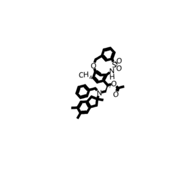 C.CC(=O)O[C@@H](CN(Cc1ccccc1)C1(C)Cc2cc(C)c(C)cc2C1)c1ccc2cc1NS(=O)(=O)c1cccc(c1)CO2